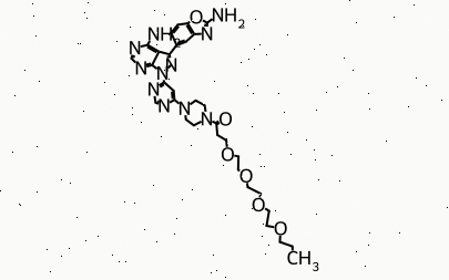 CCCOCCOCCOCCOCCC(=O)N1CCN(c2cc(-n3nc(-c4ccc5oc(N)nc5c4)c4c(N)ncnc43)ncn2)CC1